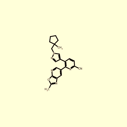 Cc1nc2cc(-c3nc(C#N)ccc3-c3cnn(CC4(C)CCCC4)c3)cnc2o1